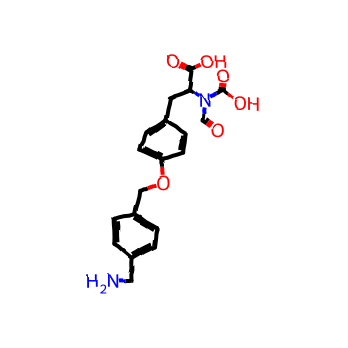 NCc1ccc(COc2ccc(CC(C(=O)O)N(C=O)C(=O)O)cc2)cc1